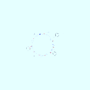 CC[C@H](C)[C@@H]1NC(=O)[C@H](CC2CCCCC2)N(C)C(=O)C[C@@H](C)NC(=O)[C@H](CC(C)C)N(C)C(=O)C(C)(C)NC(=O)[C@H](CC(C)C)N(C)C(=O)[C@H](CCc2ccc(C(F)(F)F)cc2)NC(=O)CN(C)C(=O)[C@H](Cc2ccc(Cl)cc2)N(C)C(=O)CN(C)C(=O)CN(C)C1=O